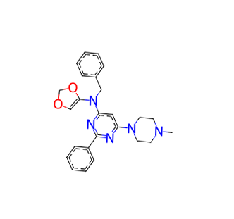 CN1CCN(c2cc(N(Cc3ccccc3)C3=COCO3)nc(-c3ccccc3)n2)CC1